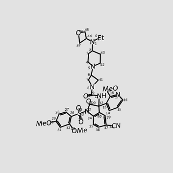 CCN(C1CCN(C2CN(C(=O)NC3(c4cccnc4OC)C(=O)N(S(=O)(=O)c4ccc(OC)cc4OC)c4ccc(C#N)cc43)C2)CC1)C1COC1